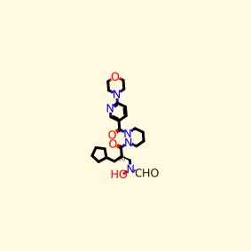 O=CN(O)C[C@@H](CC1CCCC1)C(=O)N1CCCCN1C(=O)c1ccc(N2CCOCC2)nc1